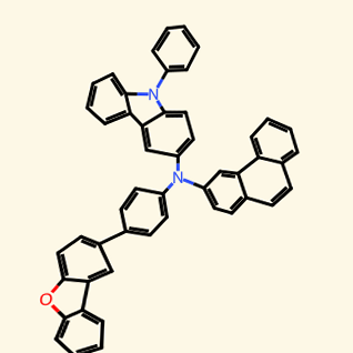 c1ccc(-n2c3ccccc3c3cc(N(c4ccc(-c5ccc6oc7ccccc7c6c5)cc4)c4ccc5ccc6ccccc6c5c4)ccc32)cc1